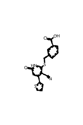 N#Cc1c(-c2cccs2)cc(=O)[nH]c1SCc1cccc(C(=O)O)c1